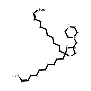 CCCCC/C=C\CCCCCCCCC1(CCCCCCCC/C=C\CCCCC)OCC(CN2CCOCC2)O1